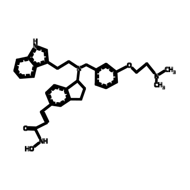 CN(C)CCOc1cccc(CN(CCc2c[nH]c3ccccc23)C2CCc3cc(C=CC(=O)NO)ccc32)c1